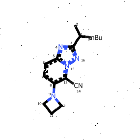 CCCCC(C)c1nc2ccc(N3CCC3)c(C#N)n2n1